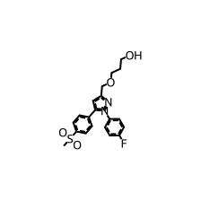 CS(=O)(=O)c1ccc(-c2cc(COCCCO)nn2-c2ccc(F)cc2)cc1